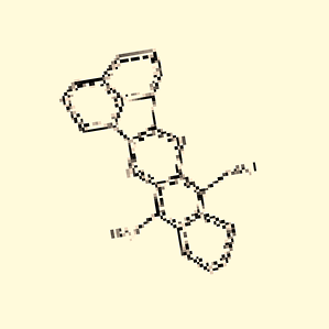 O=S(=O)(O)c1c2ccccc2c(S(=O)(=O)O)c2nc3c(nc12)-c1cccc2cccc-3c12